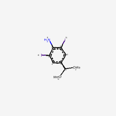 COC(OC)c1cc(I)c(N)c(I)c1